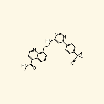 CNC(=O)c1ccnc2c(CCNc3cc(-c4ccc(C5(C#N)CC5)cc4)ncn3)cccc12